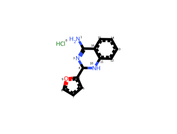 Cl.NC1=NC(c2ccco2)Nc2ccccc21